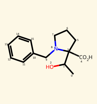 CC(O)C1(C(=O)O)CCCN1Cc1ccccc1